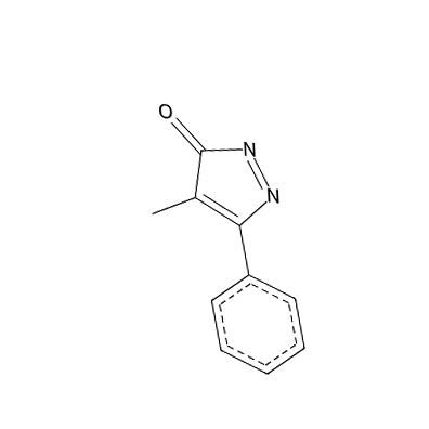 CC1=C(c2ccccc2)N=NC1=O